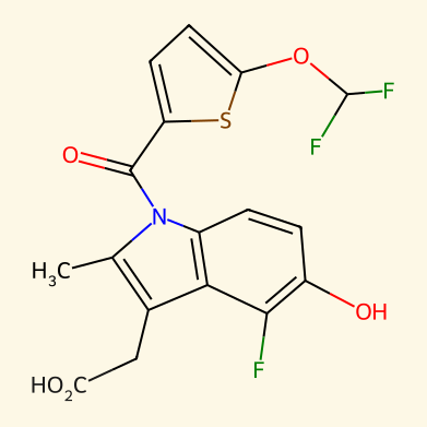 Cc1c(CC(=O)O)c2c(F)c(O)ccc2n1C(=O)c1ccc(OC(F)F)s1